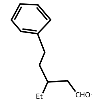 CCC(C[C]=O)CCc1ccccc1